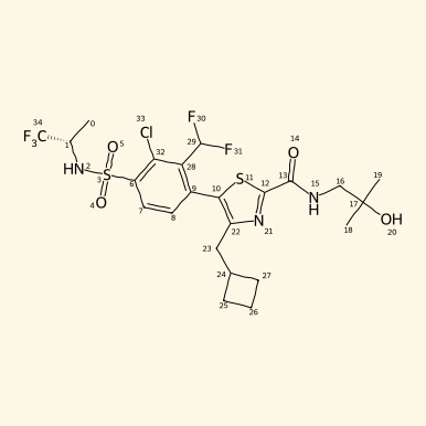 C[C@H](NS(=O)(=O)c1ccc(-c2sc(C(=O)NCC(C)(C)O)nc2CC2CCC2)c(C(F)F)c1Cl)C(F)(F)F